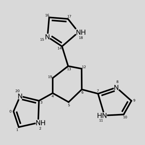 c1c[nH]c(C2CC(c3ncc[nH]3)CC(c3ncc[nH]3)C2)n1